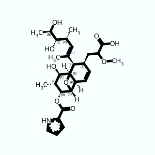 COC(C[C@H]1C=C[C@H]2[C@H]3O[C@]1(/C(C)=C/[C@@H](C)[C@H](O)[C@@H](C)O)[C@@H]2[C@H](O)[C@@H](C)[C@H]3OC(=O)c1ccc[nH]1)C(=O)O